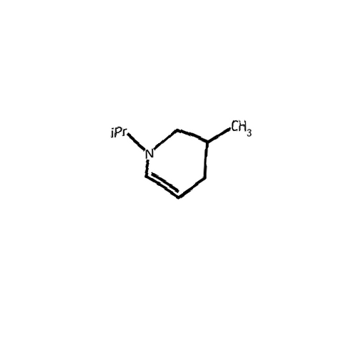 CC1CC=CN(C(C)C)C1